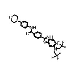 O=C(Nc1ccc(N2CCOCC2)cc1)c1ccc(-c2nc3cc(N(CC(F)(F)F)CC(F)(F)F)ccc3[nH]2)cc1